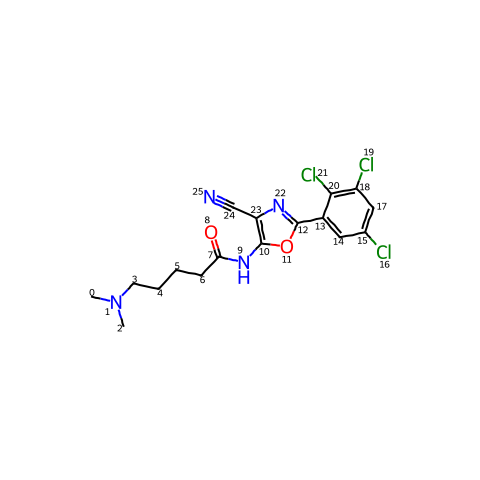 CN(C)CCCCC(=O)Nc1oc(-c2cc(Cl)cc(Cl)c2Cl)nc1C#N